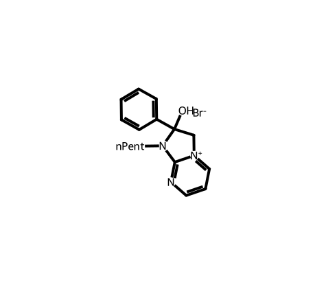 CCCCCN1c2nccc[n+]2CC1(O)c1ccccc1.[Br-]